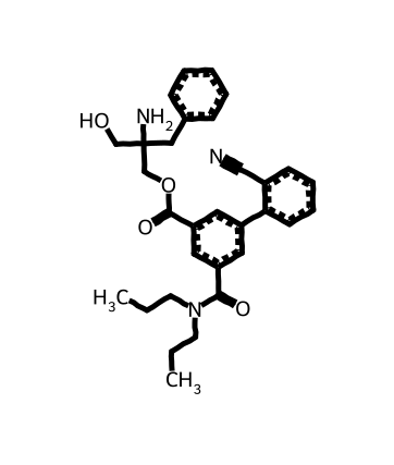 CCCN(CCC)C(=O)c1cc(C(=O)OCC(N)(CO)Cc2ccccc2)cc(-c2ccccc2C#N)c1